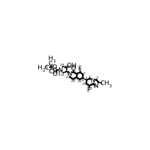 Cc1cn2cc(-c3cc(F)c4c(=O)n(C5CN(C(=O)OC(C)(C)C)C[C@@H]5O)ccc4c3)cc(F)c2n1